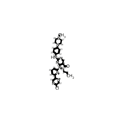 C=CCn1c(=O)c2cnc(Nc3ccc(N4CCN(C)CC4)cc3)nc2n1-c1cccc(-c2cnc(Cl)cn2)n1